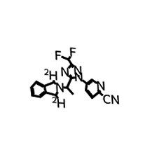 [2H]C1c2ccccc2C([2H])N1C(C)c1nc(C(F)F)nn1-c1ccc(C#N)nc1